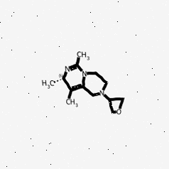 CC1=N[C@@H](C)C(C)=C2CN(C3COC3)CCN12